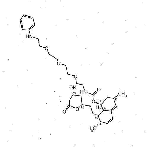 C[C@H]1C=C2C=C[C@H](C)[C@H](CC[C@@H]3C[C@@H](O)CC(=O)O3)[C@H]2[C@@H](OC(=O)NCCOCCOCCOCCNc2ccccc2)C1